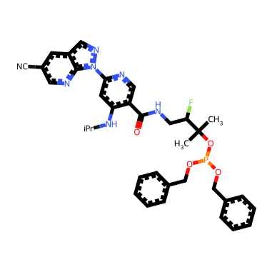 CC(C)Nc1cc(-n2ncc3cc(C#N)cnc32)ncc1C(=O)NCC(F)C(C)(C)OP(OCc1ccccc1)OCc1ccccc1